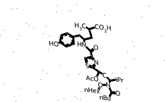 CCCCCCON(C(=O)CCCC)C(CC(OC(C)=O)c1nc(C(=O)NC(Cc2ccc(O)cc2)CC(C)C(=O)O)cs1)C(C)C